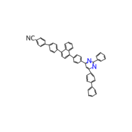 N#Cc1ccc(-c2ccc(-c3ccc(-c4ccc(-c5cc(-c6ccc(-c7ccccc7)cc6)nc(-c6ccccc6)n5)cc4)c4ccccc34)cc2)cc1